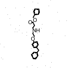 O=C(CCNCCOc1ccc(Cc2ccccc2)cc1)OCc1ccccc1